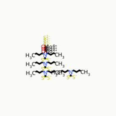 CCCCN(CCCC)C(=S)[S-].CCCCN(CCCC)C(=S)[S-].CCCCN(CCCC)C(=S)[S-].CCCCN(CCCC)C(=S)[S-].[O]=[Mo+4].[O]=[Mo+4].[O]=[Mo+4].[S-2].[S-2].[S-2].[S-2]